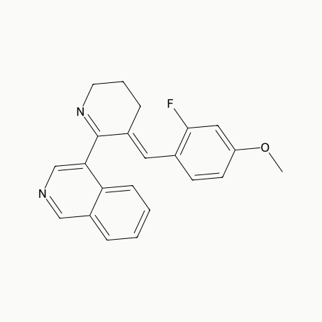 COc1ccc(C=C2CCCN=C2c2cncc3ccccc23)c(F)c1